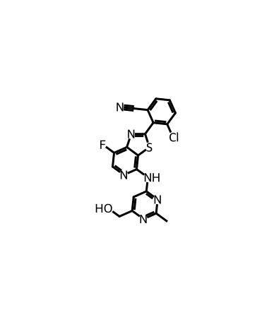 Cc1nc(CO)cc(Nc2ncc(F)c3nc(-c4c(Cl)cccc4C#N)sc23)n1